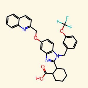 O=C(O)C1CCCCC1c1nc2cc(OCc3ccc4ccccc4n3)ccc2n1Cc1cccc(OC(F)(F)F)c1